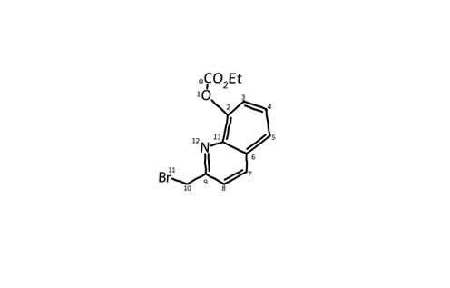 CCOC(=O)Oc1cccc2ccc(CBr)nc12